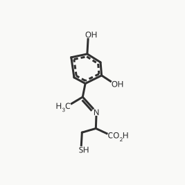 CC(=NC(CS)C(=O)O)c1ccc(O)cc1O